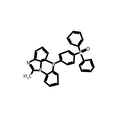 Cc1nc2cccc3c2n1-c1ccccc1N3c1ccc(P(=O)(c2ccccc2)c2ccccc2)cc1